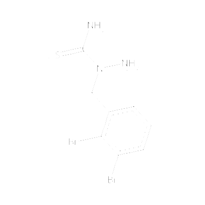 NC(=S)N(N)Cc1cccc(Br)c1Br